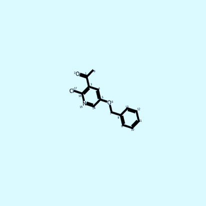 CC(=O)c1cc(OCc2ccccc2)cnc1Cl